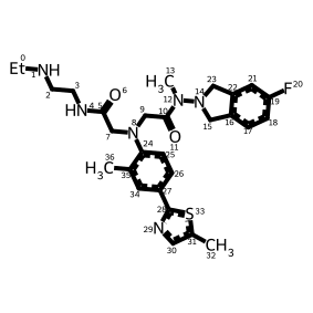 CCNCCNC(=O)CN(CC(=O)N(C)N1Cc2ccc(F)cc2C1)c1ccc(-c2ncc(C)s2)cc1C